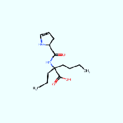 CCCCC(CCC)(NC(=O)C1CC=CN1)C(=O)O